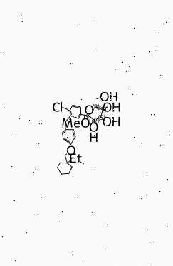 CCC1(COc2ccc(Cc3cc([C@]4(OC)O[C@H](CO)[C@@H](O)[C@H](O)[C@H]4O)ccc3Cl)cc2)CCCCC1